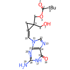 CC(C)(C)C(=O)OCC1(CO)CC1=Cn1cnc2c(=O)[nH]c(N)nc21